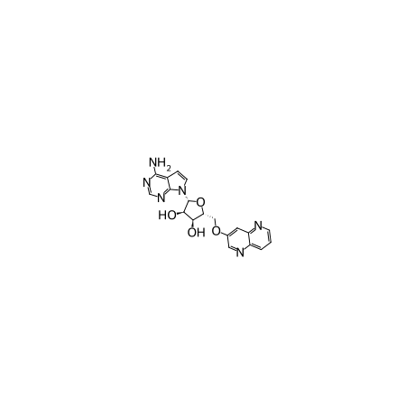 Nc1ncnc2c1ccn2[C@@H]1O[C@H](COc2cnc3cccnc3c2)[C@@H](O)[C@H]1O